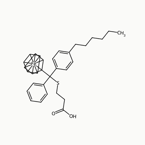 CCCCCCc1ccc(C(SCCC(=O)O)(c2ccccc2)[C]23[CH]4[CH]5[CH]6[CH]2[Fe]56432789[CH]3[CH]2[CH]7[CH]8[CH]39)cc1